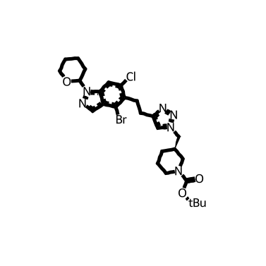 CC(C)(C)OC(=O)N1CCC[C@@H](Cn2cc(CCc3c(Cl)cc4c(cnn4C4CCCCO4)c3Br)nn2)C1